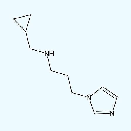 c1cn(CCCNCC2CC2)cn1